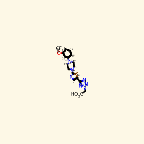 O=C(O)Cn1nnc(-c2cnc(N3CCN(c4cccc(OC(F)(F)F)c4)CC3)s2)n1